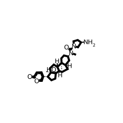 CN(C(=O)N1CC[C@@H](N)C1)[C@H]1CC[C@@]2(C)[C@H](CC[C@@H]3[C@@H]2CC[C@]2(C)[C@@H](c4ccc(=O)oc4)CC[C@]32O)C1